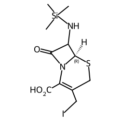 C[Si](C)(C)NC1C(=O)N2C(C(=O)O)=C(CI)CS[C@H]12